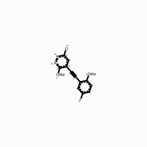 COc1ccc(F)cc1C#Cc1cc(Cl)nnc1OC